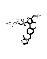 Cc1cc(Cn2ccnc2C)ccc1-c1c(S(=O)(=O)CNC(=O)O)sc(CC(C)C)c1C